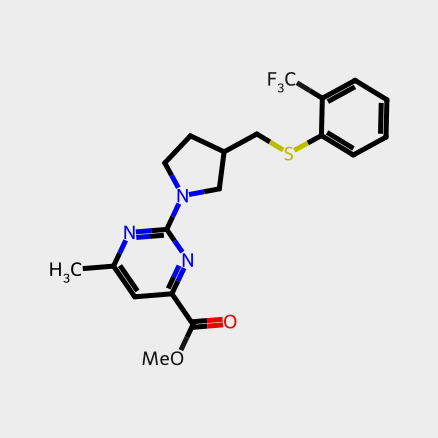 COC(=O)c1cc(C)nc(N2CCC(CSc3ccccc3C(F)(F)F)C2)n1